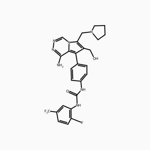 Nc1nncn2c(CN3CCCC3)c(CO)c(-c3ccc(NC(=O)Nc4cc(C(F)(F)F)ccc4F)cc3)c12